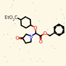 CCOC(=O)C1CCC(OC(C(=O)OCc2ccccc2)N2CCC(=O)C2)CC1